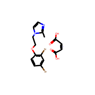 Cc1nccn1CCOc1ccc(Br)cc1Br.O=C(O)/C=C\C(=O)O